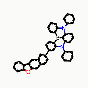 c1ccc(N2c3ccccc3B3c4ccc(-c5ccc6cc7oc8ccccc8c7cc6c5)cc4N(c4ccccc4)c4cccc2c43)cc1